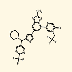 Nc1nc2cc(-c3cnn(C(c4ccc(C(F)(F)F)nc4)C4CCOCC4)c3)cc(-c3cn(CC(F)(F)F)c(=O)cn3)n2n1